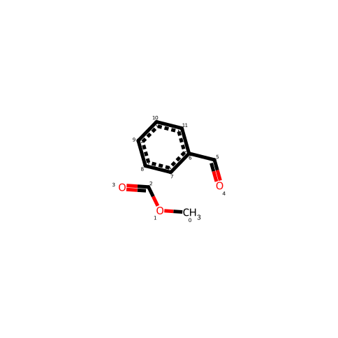 COC=O.O=Cc1ccccc1